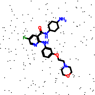 NC1CCC(NC(=O)c2cc(F)cnc2Nc2cccc(OCCN3CCOCC3)c2)CC1